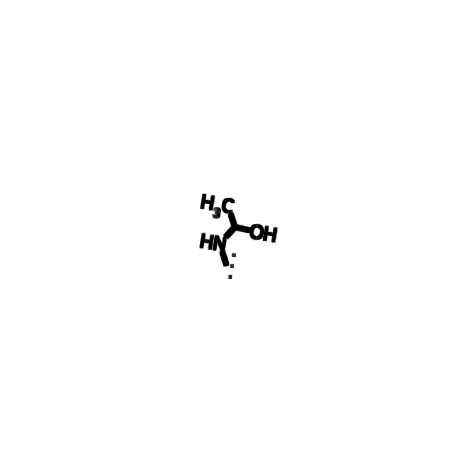 [C]NC(C)O